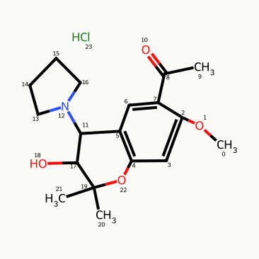 COc1cc2c(cc1C(C)=O)C(N1CCCC1)C(O)C(C)(C)O2.Cl